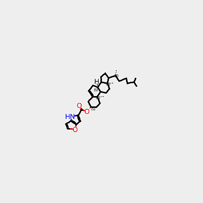 CC(C)CCC[C@@H](C)C1CCC2[C@@H]3CC=C4C[C@@H](OC(=O)c5cc6occc6[nH]5)CC[C@]4(C)C3CC[C@@]21C